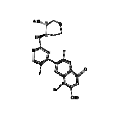 CC(=O)O[C@@H]1COCC[C@H]1Nc1ncc(F)c(-c2cc3c(cc2F)c(=O)cc(C=O)n3C(C)C)n1